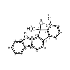 CC1(C)c2c(Cl)cccc2-c2ccc3c(oc4ccccc43)c21